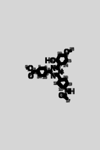 COC(=O)c1ccc(-c2nc(-c3ccc(NC(C)=O)cc3)nc(-c3ccc(OC)cc3O)n2)cc1